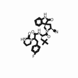 CC(C)(C)C[C@H](NC(=O)C(Cc1ccc(F)cc1)N1CCCNC1=O)C(=O)N1C[C@]2(C[C@H]1C#N)C(=O)Nc1ccccc12